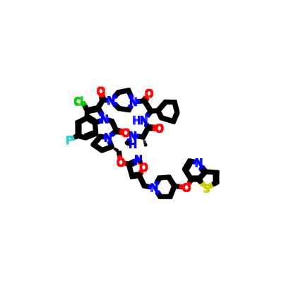 CN[C@@H](C)C(=O)NC(C(=O)N1CCN(C(=O)c2c(Cl)c3cc(F)ccc3n2CC(=O)N2CCC[C@H]2COc2cc(CN3CCC(Oc4ccnc5ccsc45)CC3)on2)CC1)C1CCCCC1